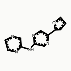 c1coc(-c2cnc(Nc3cnccn3)cn2)c1